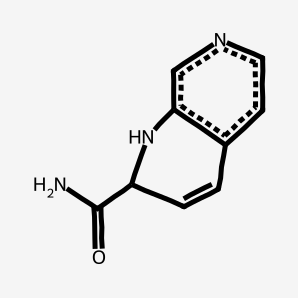 NC(=O)C1C=Cc2ccncc2N1